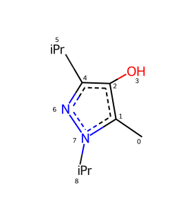 Cc1c(O)c(C(C)C)nn1C(C)C